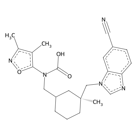 Cc1noc(N(CC2CCC[C@](C)(Cn3cnc4ccc(C#N)cc43)C2)C(=O)O)c1C